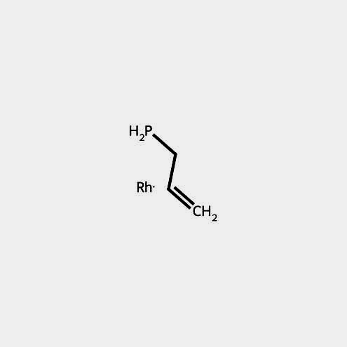 C=CCP.[Rh]